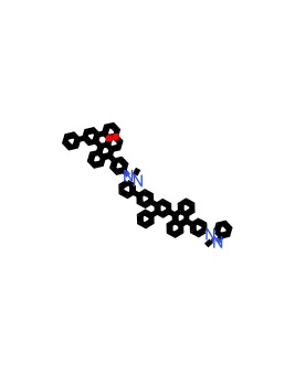 Cc1nc2ccccc2n1-c1ccc(-c2c3ccccc3c(-c3ccc(-c4ccc(-c5cccc6c5nc(C)n6-c5ccc(-c6c7ccccc7c(-c7cc(-c8ccccc8)ccc7-c7ccccc7)c7ccccc67)cc5)cc4)c(-c4ccccc4)c3)c3ccccc23)cc1